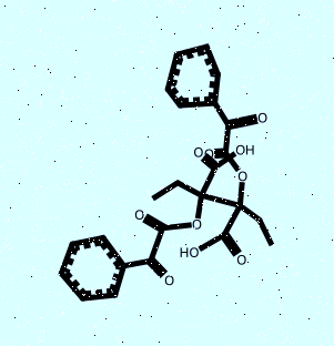 CCC(OC(=O)C(=O)c1ccccc1)(C(=O)O)C(CC)(OC(=O)C(=O)c1ccccc1)C(=O)O